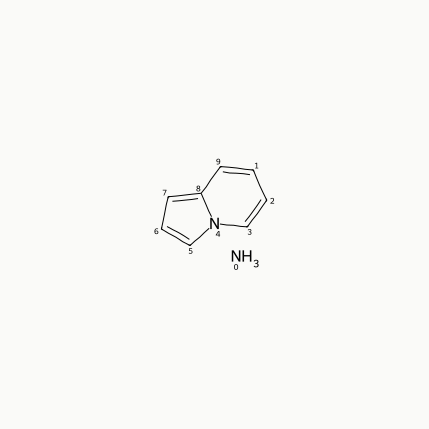 N.c1ccn2cccc2c1